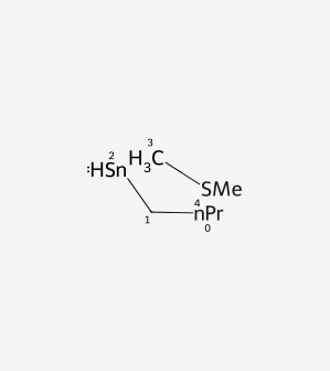 CCC[CH2][SnH].CSC